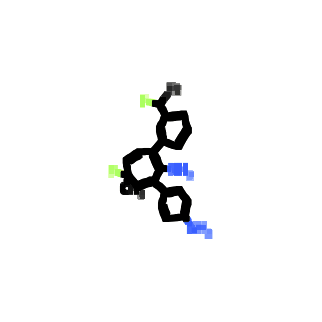 CCC(F)c1cccc(C2=C(N)C(c3ccc(N)cc3)=CC(C)(F)C=C2)c1